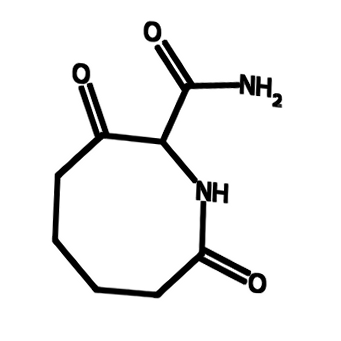 NC(=O)C1NC(=O)CCCCC1=O